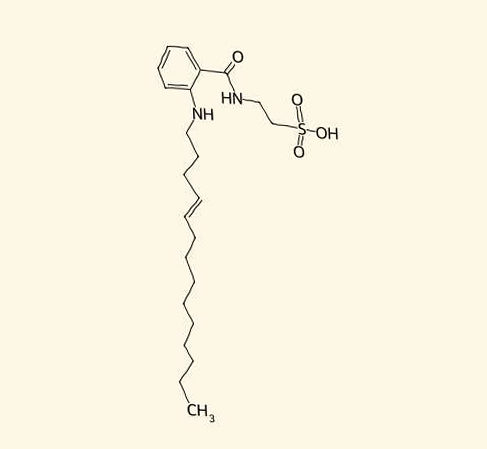 CCCCCCCCCC=CCCCNc1ccccc1C(=O)NCCS(=O)(=O)O